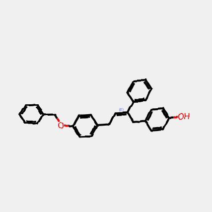 Oc1ccc(C/C(=C\Cc2ccc(OCc3ccccc3)cc2)c2ccccc2)cc1